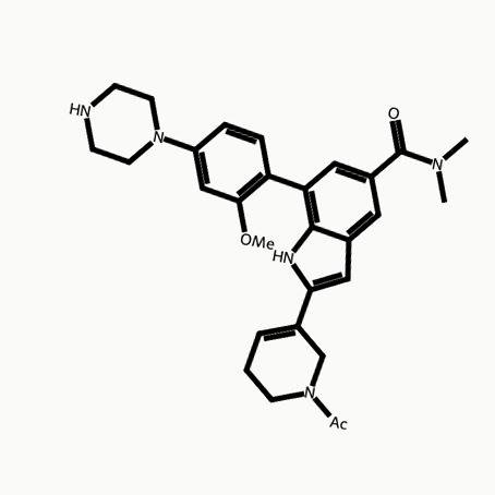 COc1cc(N2CCNCC2)ccc1-c1cc(C(=O)N(C)C)cc2cc(C3=CCCN(C(C)=O)C3)[nH]c12